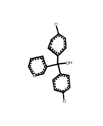 OC(c1ccc(Cl)cc1)(c1ccc(Cl)cc1)c1cccnc1